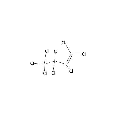 ClC(Cl)=C(Cl)C(Cl)(Cl)C(Cl)(Cl)Cl